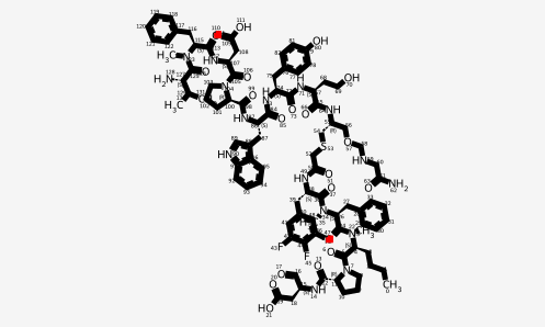 CCCC[C@@H](C(=O)N1CCC[C@@H]1C(=O)N[C@H](C=O)CC(=O)O)N(C)C(=O)[C@H](Cc1ccccc1)N(C)C(=O)[C@H](Cc1cc(F)c(F)c(F)c1)NC(=O)CSC[C@@H](COCNCC(N)=O)NC(=O)[C@H](CCO)NC(=O)[C@H](Cc1ccc(O)cc1)NC(=O)[C@H](Cc1c[nH]c2ccccc12)NC(=O)[C@H]1CCCN1C(=O)[C@H](CC(=O)O)NC(=O)[C@H](Cc1ccccc1)N(C)C(=O)[C@@H](N)C(C)C